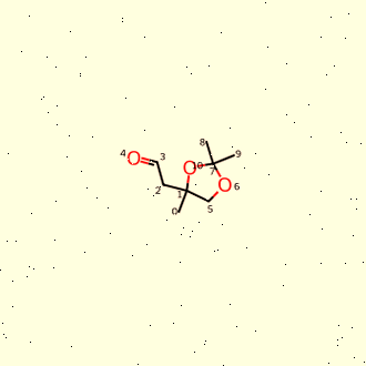 CC1(CC=O)COC(C)(C)O1